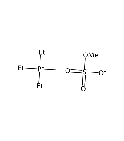 CC[P+](C)(CC)CC.COS(=O)(=O)[O-]